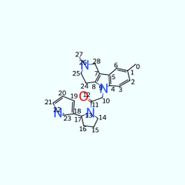 Cc1ccc2c(c1)c1c(n2CC(=O)N2CCCC2c2cccnc2)CCN(C)C1